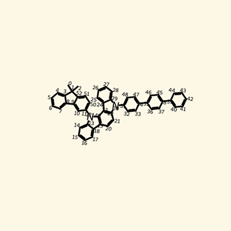 CC1(C)c2ccccc2-c2cc(-n3c4ccccc4c4ccc5c(c6ccccc6n5-c5ccc(-c6ccc(-c7ccccc7)cc6)cc5)c43)ccc21